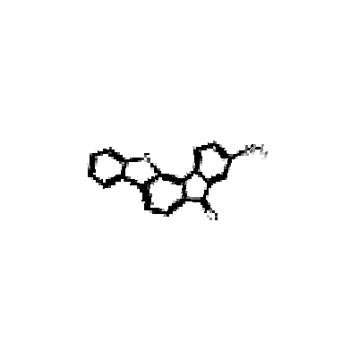 Bc1ccc2c(c1)C(=O)c1ccc3c(sc4ccccc43)c1-2